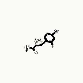 CNC(=O)[C@@H](N)Cc1ccc(Br)cc1F